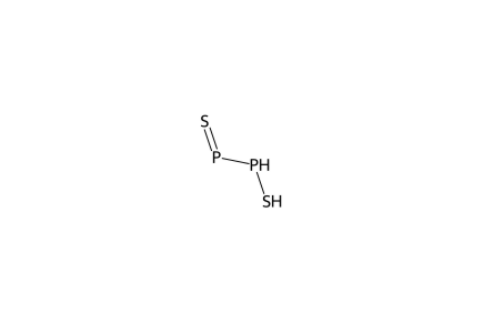 S=PPS